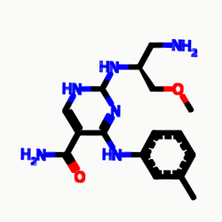 COC[C@H](CN)NC1N=C(Nc2cccc(C)c2)C(C(N)=O)=CN1